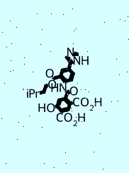 CC(C)CCOC(=O)c1cc(-c2cnc[nH]2)ccc1NC(=O)c1cc(O)c(C(=O)O)cc1C(=O)O